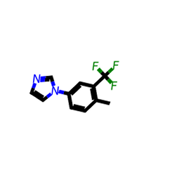 Cc1ccc(-n2ccnc2)cc1C(F)(F)F